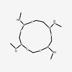 CPN1CCCN(PC)CCN(PC)CCCN(PC)CC1